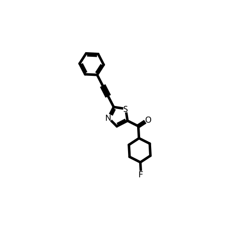 O=C(c1cnc(C#Cc2ccccc2)s1)C1CCC(F)CC1